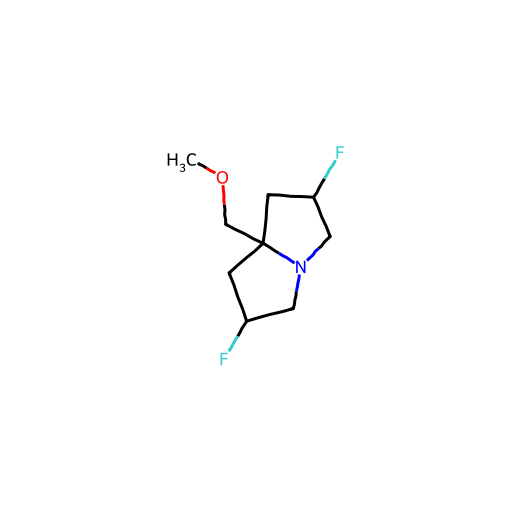 COCC12CC(F)CN1CC(F)C2